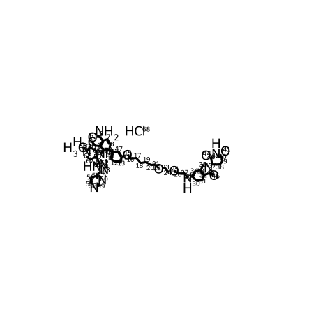 CCc1c(C(N)=O)ccc(-c2cccc(OCCCCCCOCCOCCNc3ccc4c(c3)CN(C3CCC(=O)NC3=O)C4=O)c2)c1NC1(c2nnc(-c3ccncn3)[nH]2)CCN(C)CC1.Cl